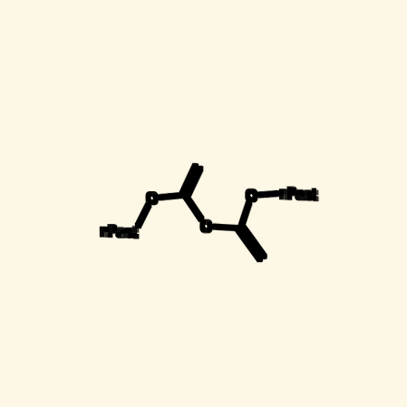 C=C(OCCCCC)OC(=C)OCCCCC